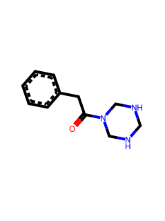 O=C(Cc1ccccc1)N1CNCNC1